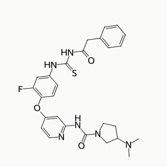 CN(C)C1CCN(C(=O)Nc2cc(Oc3ccc(NC(=S)NC(=O)Cc4ccccc4)cc3F)ccn2)C1